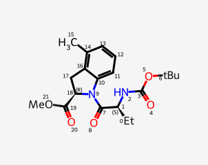 CC[C@H](NC(=O)OC(C)(C)C)C(=O)N1c2cccc(C)c2C[C@@H]1C(=O)OC